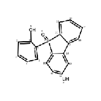 O=P1(c2ccccc2O)c2ccccc2-c2ccccc21.[LiH]